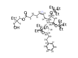 CCC(C)(CO)COC(=O)CCC/C=C\C[C@@H]1[C@@H](CC[C@H](CCc2ccccc2)O[Si](CC)(CC)CC)[C@H](O[Si](CC)(CC)CC)C[C@@H]1O[Si](CC)(CC)CC